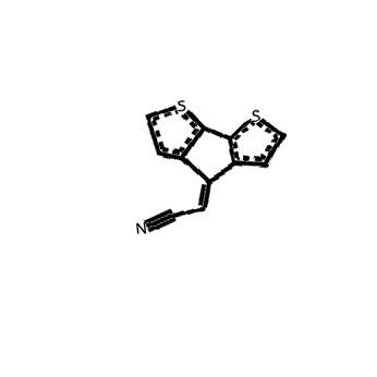 N#CC=C1c2ccsc2-c2sccc21